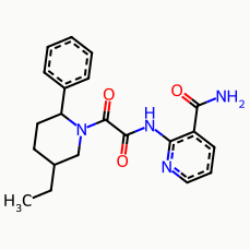 CCC1CCC(c2ccccc2)N(C(=O)C(=O)Nc2ncccc2C(N)=O)C1